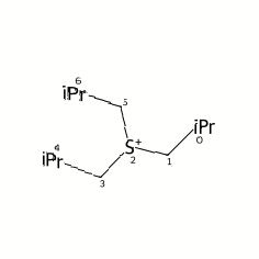 CC(C)C[S+](CC(C)C)CC(C)C